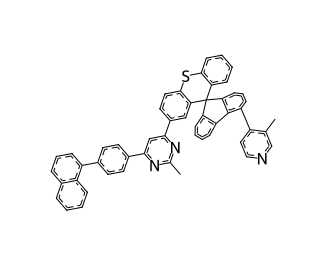 Cc1nc(-c2ccc(-c3cccc4ccccc34)cc2)cc(-c2ccc3c(c2)C2(c4ccccc4S3)c3ccccc3-c3c(-c4ccncc4C)cccc32)n1